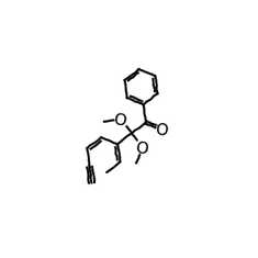 C#C/C=C\C(=C/C)C(OC)(OC)C(=O)c1ccccc1